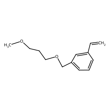 C=Cc1cccc(COCCCOC)c1